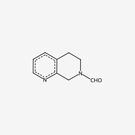 O=CN1CCc2cccnc2C1